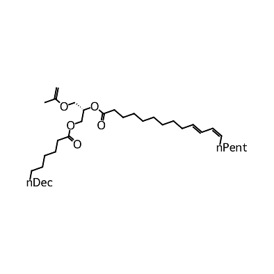 C=C(C)OC[C@@H](COC(=O)CCCCCCCCCCCCCCC)OC(=O)CCCCCCCC/C=C/C=C\CCCCC